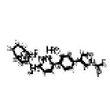 CN(c1ccc(-c2ccc(-c3cnn(C(F)F)c3)cc2O)nn1)[C@@H]1CC2CCC(N2)[C@@H]1F